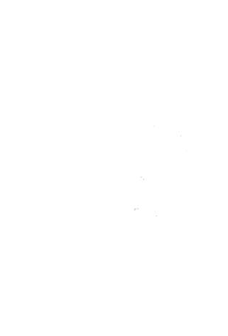 CC1(C)c2ccccc2-c2cccc(-c3cccc(N(c4ccc5c(c4)C4(c6ccccc6-5)C5CC6CC(C5)CC4C6)c4cccc5c4C(C)(C)c4ccccc4-5)c3)c21